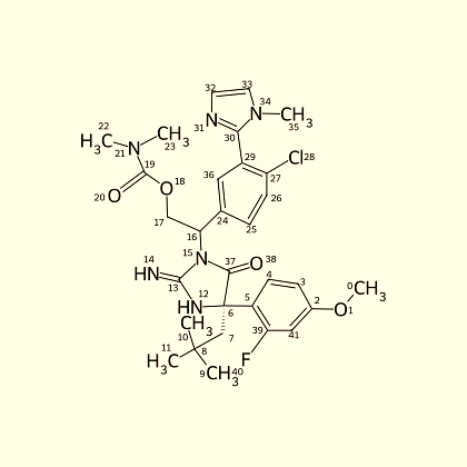 COc1ccc([C@@]2(CC(C)(C)C)NC(=N)N(C(COC(=O)N(C)C)c3ccc(Cl)c(-c4nccn4C)c3)C2=O)c(F)c1